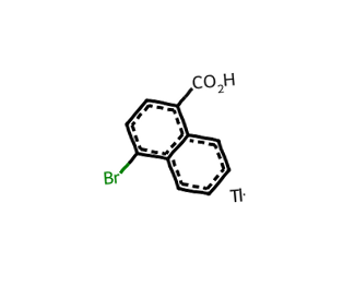 O=C(O)c1ccc(Br)c2ccccc12.[Tl]